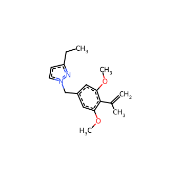 C=C(C)c1c(OC)cc(Cn2ccc(CC)n2)cc1OC